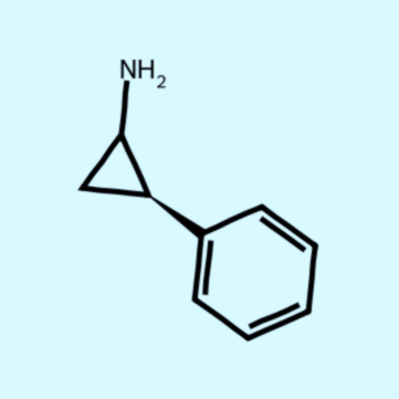 N[C]1C[C@@H]1c1ccccc1